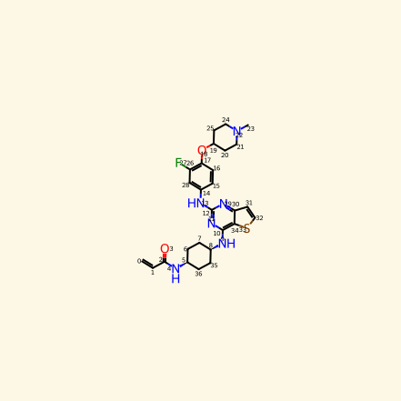 C=CC(=O)N[C@H]1CC[C@@H](Nc2nc(Nc3ccc(OC4CCN(C)CC4)c(F)c3)nc3ccsc23)CC1